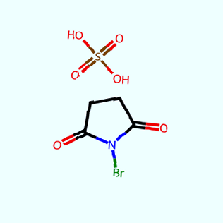 O=C1CCC(=O)N1Br.O=S(=O)(O)O